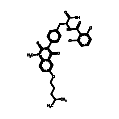 CN(C)CCCOc1ccc2c(c1)c(=O)n(-c1ccc(C[C@H](NC(=O)c3c(Cl)cccc3Cl)C(=O)O)cc1)c(=O)n2C